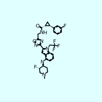 CN1CC/C(=N\c2cccc3c2cc(-c2noc(CNC(=O)[C@@H]4C[C@H]4c4cccc(F)c4)n2)n3CC(F)(F)F)[C@@H](F)C1